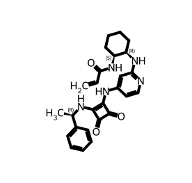 C=CC(=O)N[C@H]1CCCC[C@H]1Nc1cc(Nc2c(N[C@H](C)c3ccccc3)c(=O)c2=O)ccn1